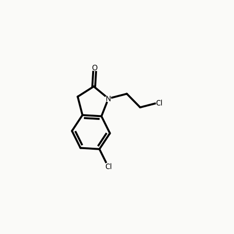 O=C1Cc2ccc(Cl)cc2N1CCCl